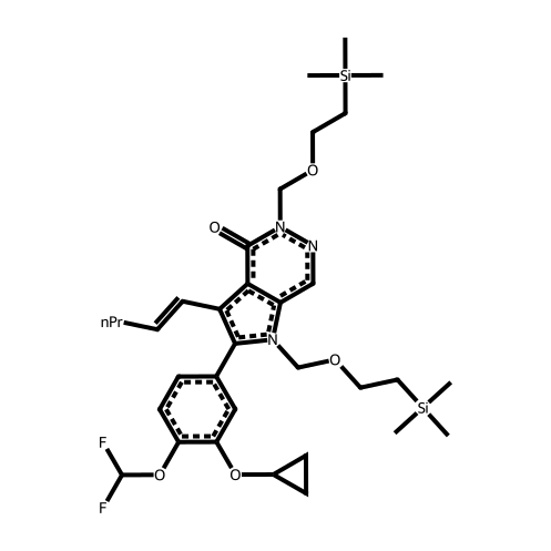 CCCC=Cc1c(-c2ccc(OC(F)F)c(OC3CC3)c2)n(COCC[Si](C)(C)C)c2cnn(COCC[Si](C)(C)C)c(=O)c12